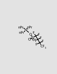 CCC[N+](C)(CCC)CCC.O=S(=O)([O-])C(F)(F)C(F)(F)C(F)(F)C(F)(F)F